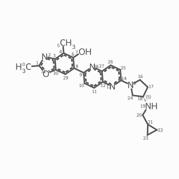 Cc1nc2c(C)c(O)c(-c3ccc4nc(N5CC[C@H](NCC6CC6)C5)ccc4n3)cc2o1